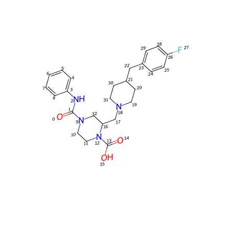 O=C(Nc1ccccc1)N1CCN(C(=O)O)C(CN2CCC(Cc3ccc(F)cc3)CC2)C1